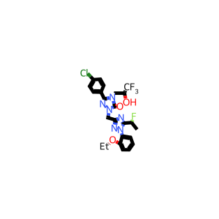 CCOc1ccccc1-n1nc(Cn2nc(-c3ccc(Cl)cc3)n(CC(O)C(F)(F)F)c2=O)nc1C(C)F